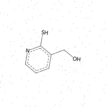 OCc1cccnc1S